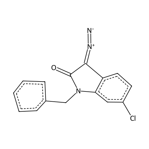 [N-]=[N+]=C1C(=O)N(Cc2ccccc2)c2cc(Cl)ccc21